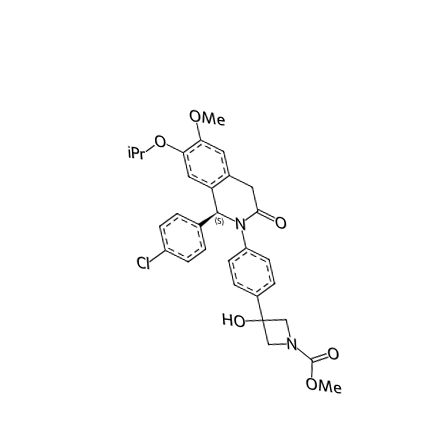 COC(=O)N1CC(O)(c2ccc(N3C(=O)Cc4cc(OC)c(OC(C)C)cc4[C@@H]3c3ccc(Cl)cc3)cc2)C1